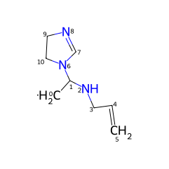 [CH2]C(NCC=C)N1C=NCC1